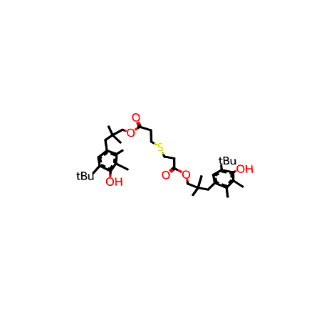 Cc1c(CC(C)(C)COC(=O)CCSCCC(=O)OCC(C)(C)Cc2cc(C(C)(C)C)c(O)c(C)c2C)cc(C(C)(C)C)c(O)c1C